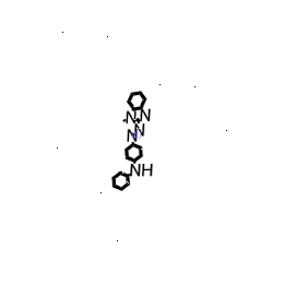 Cn1c(/N=N/c2ccc(Nc3ccccc3)cc2)nc2ccccc21